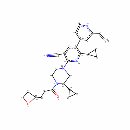 C=Cc1cc(-c2cc(C#N)c(N3CCN(C(=O)CC[C@@H]4CCO4)[C@H](C4CC4)C3)nc2C2CC2)ccn1